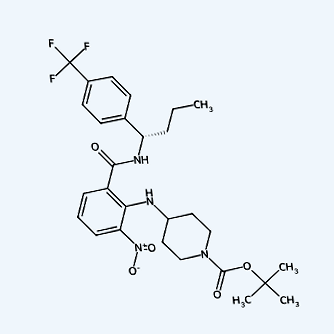 CCC[C@H](NC(=O)c1cccc([N+](=O)[O-])c1NC1CCN(C(=O)OC(C)(C)C)CC1)c1ccc(C(F)(F)F)cc1